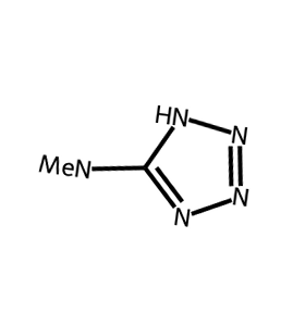 CNc1nnn[nH]1